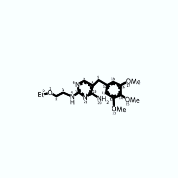 CCOCCNc1ncc(Cc2cc(OC)c(OC)c(OC)c2)c(N)n1